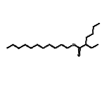 CCCCCCCCCCCOC(=O)C(CC)CCCC